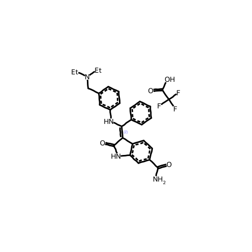 CCN(CC)Cc1cccc(N/C(=C2\C(=O)Nc3cc(C(N)=O)ccc32)c2ccccc2)c1.O=C(O)C(F)(F)F